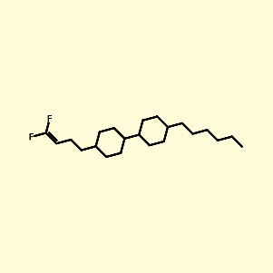 CCCCCCC1CCC(C2CCC(CCC=C(F)F)CC2)CC1